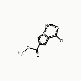 COC(=O)c1cc2c(Cl)ncnn2c1